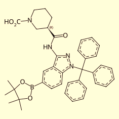 CC1(C)OB(c2ccc3c(c2)c(NC(=O)[C@@H]2CCCN(C(=O)O)C2)nn3C(c2ccccc2)(c2ccccc2)c2ccccc2)OC1(C)C